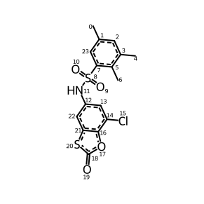 Cc1cc(C)c(C)c(S(=O)(=O)Nc2cc(Cl)c3oc(=O)sc3c2)c1